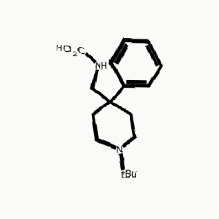 CC(C)(C)N1CCC(CNC(=O)O)(c2ccccc2)CC1